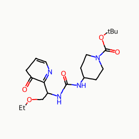 CCOCC(NC(=O)NC1CCN(C(=O)OC(C)(C)C)CC1)C1=NC=CCC1=O